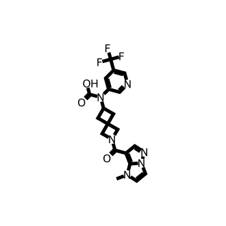 Cn1ccn2ncc(C(=O)N3CC4(CC(N(C(=O)O)c5cncc(C(F)(F)F)c5)C4)C3)c12